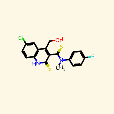 CN(C(=S)c1c(CO)c2cc(Cl)ccc2[nH]c1=S)c1ccc(F)cc1